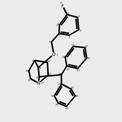 Fc1cccc(COC2C3CCN(CC3)C2C(c2ccccc2)c2ccccc2)c1